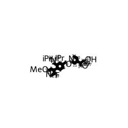 COc1cc(-c2ccc(COc3cc(C(C)CP(C)(=O)O)ccn3)cc2CN(C(C)C)C(C)C)c(F)cn1